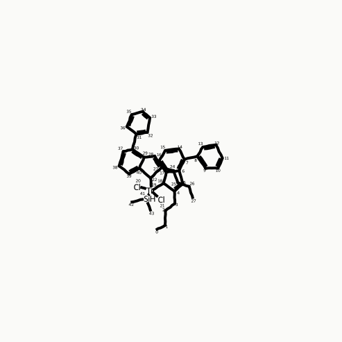 CCCCC1=Cc2c(-c3ccccc3)cccc2[CH]1[Ti]([Cl])([Cl])([CH]1C(CCCC)=Cc2c(-c3ccccc3)cccc21)[SiH](C)C